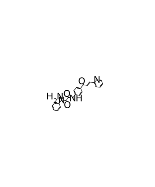 NN(C(=O)C(=O)Nc1ccc(C(=O)C=Cc2ccccn2)cc1)c1ccccc1